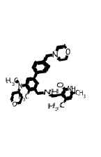 Cc1cc(C)c(CNCc2cc(-c3ccc(CN4CCOCC4)cc3)cc(N(C)C3CCOCC3)c2C)c(=O)[nH]1